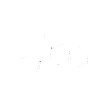 CCOC(=O)C(Cc1ccccc1)C(=O)CO